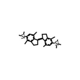 Cc1cc([Si](C)(C)C)c(C)c2c1C(=C1CCc3c(C)c([Si](C)(C)C)cc(C)c31)CC2